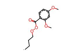 [CH2]CCCOOC(=O)c1ccc(OC)cc1OC